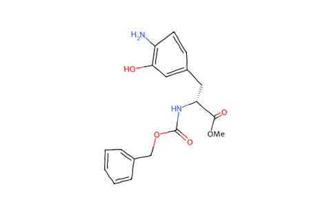 COC(=O)[C@@H](Cc1ccc(N)c(O)c1)NC(=O)OCc1ccccc1